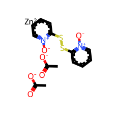 CC(=O)[O-].CC(=O)[O-].[O-][n+]1ccccc1SSc1cccc[n+]1[O-].[Zn+2]